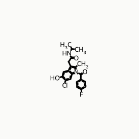 Cc1c(CC(=O)NC(C)C)c2cc(O)c(Cl)cc2n1C(=O)c1ccc(F)cc1